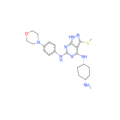 CSc1n[nH]c2nc(Nc3ccc(N4CCOCC4)cc3)nc(N[C@H]3CC[C@@H](N)CC3)c12